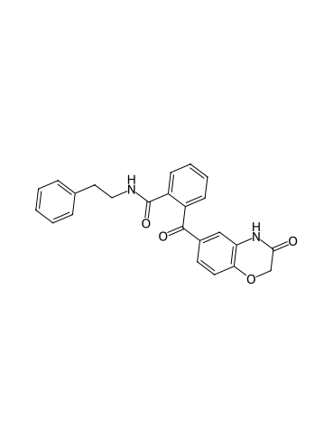 O=C1COc2ccc(C(=O)c3ccccc3C(=O)NCCc3ccccc3)cc2N1